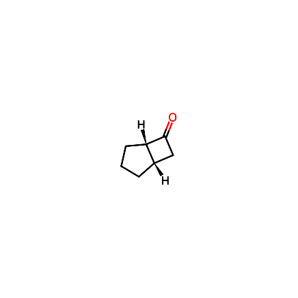 O=C1C[C@@H]2CCC[C@H]12